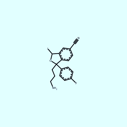 N#Cc1ccc2c(c1)C(I)OC2(CCCN)c1ccc(F)cc1